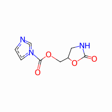 O=C1NCC(COC(=O)n2ccnc2)O1